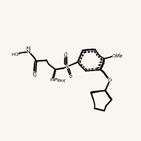 CCCCCC(CC(=O)NO)S(=O)(=O)c1ccc(OC)c(OC2CCCC2)c1